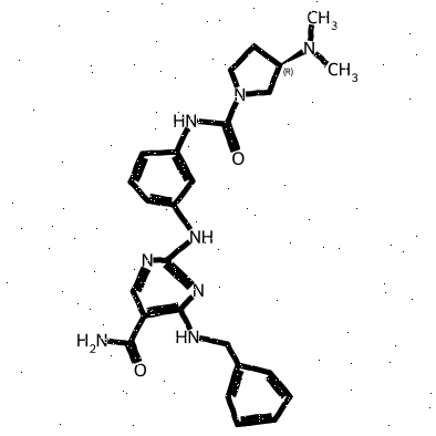 CN(C)[C@@H]1CCN(C(=O)Nc2cccc(Nc3ncc(C(N)=O)c(NCc4ccccc4)n3)c2)C1